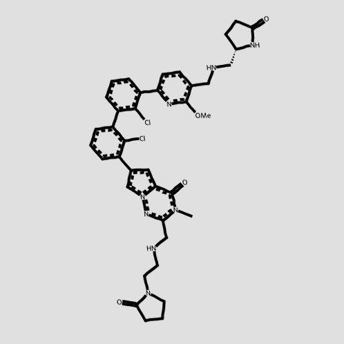 COc1nc(-c2cccc(-c3cccc(-c4cc5c(=O)n(C)c(CNCCN6CCCC6=O)nn5c4)c3Cl)c2Cl)ccc1CNC[C@@H]1CCC(=O)N1